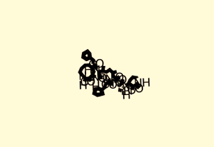 CC(C)C[C@H](NC(=O)[C@@H](NC(=O)OCc1ccccc1)C(C)CCC(C)[C@H](NC(=O)OCc1ccccc1)C(=O)NC1CCCCCCNC(=O)C1=O)C(=O)NC1CCCNC(=O)C1=O